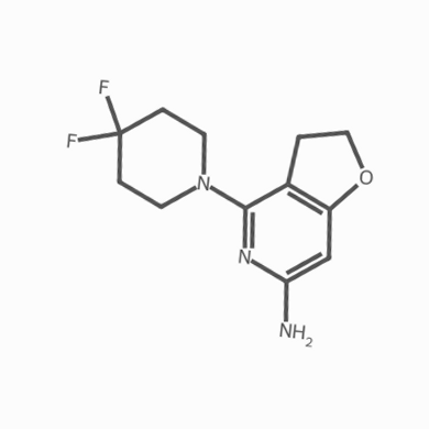 Nc1cc2c(c(N3CCC(F)(F)CC3)n1)CCO2